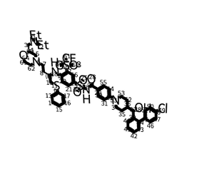 CCN(CC)C[C@H]1CN(CC[C@H](CSc2ccccc2)Nc2ccc(S(=O)(=O)NC(=O)c3ccc(N4CCC(C(O)c5ccccc5-c5ccc(Cl)cc5)CC4)cc3)cc2S(=O)(=O)C(F)(F)F)CCO1